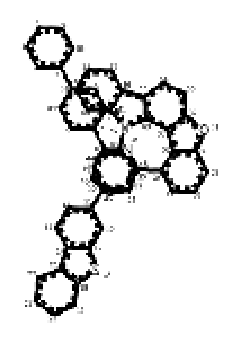 c1ccc(-c2ccc(-c3nc(-c4ccc5c(c4)sc4ccccc45)nc(-c4cccc5oc6ccc7c8ccccc8n(-c8ccccc8)c7c6c45)n3)cc2)cc1